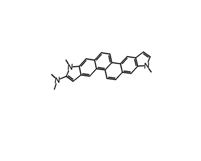 CN(C)c1cc2cc3c(ccc4c5cc6ccn(C)c6cc5ccc34)cc2n1C